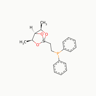 C[C@@H]1O[Si]2(CCP(c3ccccc3)c3ccccc3)O[C@@H]1[C@@H](C)O2